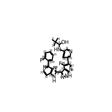 CC(C)(C)C(O)Nc1cncc(-c2cnc3[nH]nc(-c4nc5c(-c6ccccc6F)nccc5[nH]4)c3c2F)c1